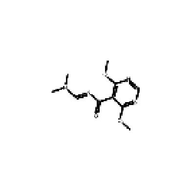 COc1ncnc(OC)c1C(=O)/N=C/N(C)C